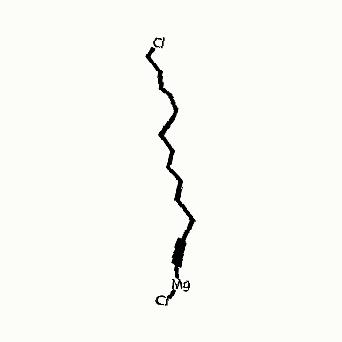 ClCCCCCCCCCCC#[C][Mg][Cl]